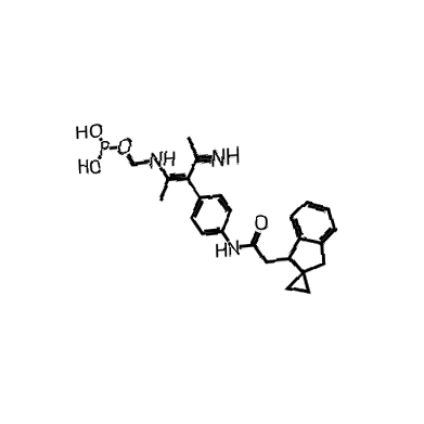 CC(=N)/C(=C(/C)NCOP(O)O)c1ccc(NC(=O)CC2c3ccccc3CC23CC3)cc1